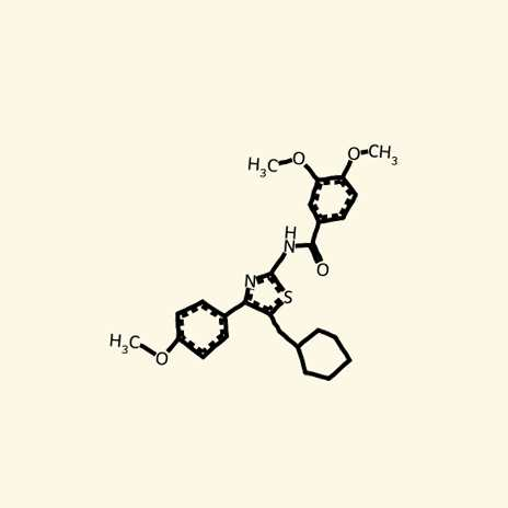 COc1ccc(-c2nc(NC(=O)c3ccc(OC)c(OC)c3)sc2CC2CCCCC2)cc1